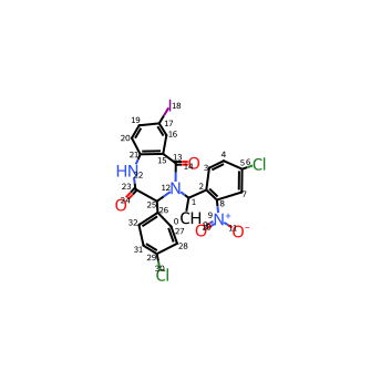 CC(c1ccc(Cl)cc1[N+](=O)[O-])N1C(=O)c2cc(I)ccc2NC(=O)C1c1ccc(Cl)cc1